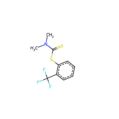 CN(C)C(=S)Sc1ccccc1C(F)(F)F